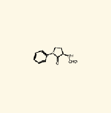 O=CNC1CCN(c2ccccc2)C1=O